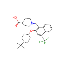 CC(C)(C)[C@H]1CC[C@H](Oc2cc(C(F)(F)F)c3ccccc3c2CN2CCC(C(=O)O)CC2)CC1